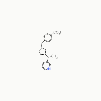 C[C@H](c1cccnc1)[C@H]1CCC(Cc2ccc(C(=O)O)cc2)C1